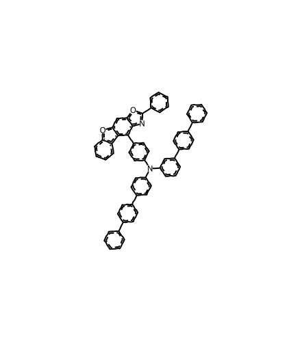 c1ccc(-c2ccc(-c3ccc(N(c4ccc(-c5c6nc(-c7ccccc7)oc6cc6oc7ccccc7c56)cc4)c4cccc(-c5ccc(-c6ccccc6)cc5)c4)cc3)cc2)cc1